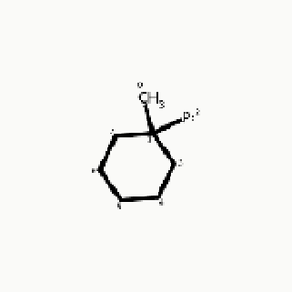 CC1([P])CCCCC1